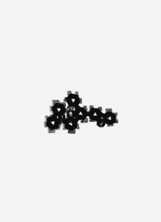 c1ccc(-c2cc(-c3ccc4c(c3)oc3ccccc34)cc3c2oc2c(-n4c5ccccc5c5ccccc54)cccc23)cc1